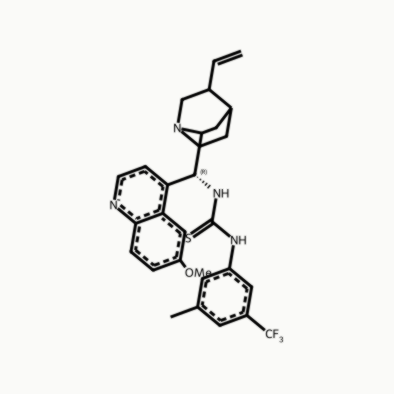 C=CC1CN2CCC1CC2[C@H](NC(=S)Nc1cc(C)cc(C(F)(F)F)c1)c1ccnc2ccc(OC)cc12